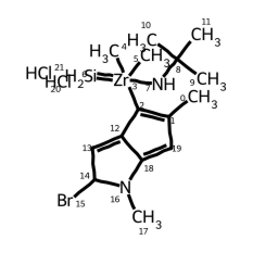 CC1=[C]([Zr]([CH3])([CH3])(=[SiH2])[NH]C(C)(C)C)C2=CC(Br)N(C)C2=C1.Cl.Cl